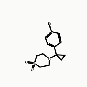 O=S1(=O)CCN(C2(c3ccc(Br)cc3)CC2)CC1